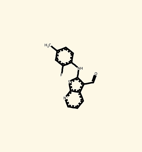 Cc1ccc(Nc2sc3ncccc3c2C=O)c(F)c1